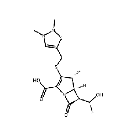 C[C@@H](O)[C@H]1C(=O)N2C(C(=O)O)=C(SCC3=CN(C)N(C)S3)[C@H](C)[C@@H]12